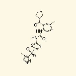 Cc1ccc(NC(=O)Nc2ncc(S(=O)(=O)c3nncn3C)s2)c(C(=O)C2CCCC2)c1